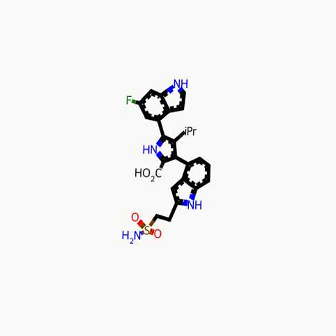 CC(C)c1c(-c2cc(F)cc3[nH]ccc23)[nH]c(C(=O)O)c1-c1cccc2[nH]c(CCS(N)(=O)=O)cc12